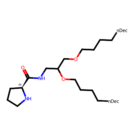 CCCCCCCCCCCCCCOCC(CNC(=O)[C@@H]1CCCN1)OCCCCCCCCCCCCCC